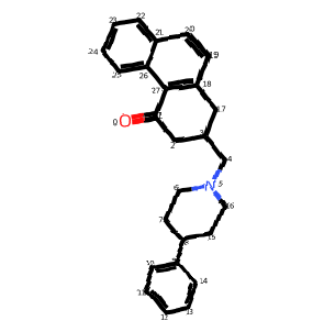 O=C1CC(CN2CCC(c3ccccc3)CC2)Cc2ccc3ccccc3c21